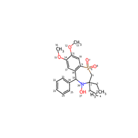 CCC1(CC)CS(=O)(=O)c2cc(OC)c(OC)cc2C(c2ccccc2)N1O